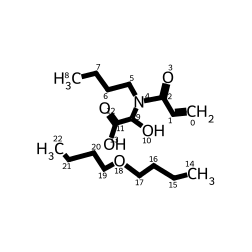 C=CC(=O)N(CCCC)C(O)C(=O)O.CCCCOCCCC